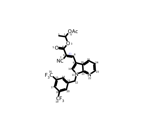 CC(=O)OC(C)OC(=O)/C(C#N)=C/c1cn(Cc2cc(C(F)(F)F)cc(C(F)(F)F)c2)c2ncccc12